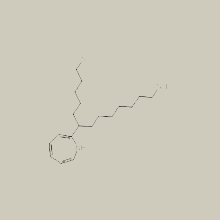 NCCCCCCCC(CCCCCN)C1=CC=CC=CN1